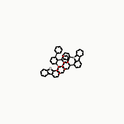 c1ccc(-c2ccccc2-c2c(-c3ccccc3)cccc2N(c2ccc(-c3cccc4c5ccccc5n(-c5ccccc5)c34)cc2)c2cccc3c2oc2ccccc23)cc1